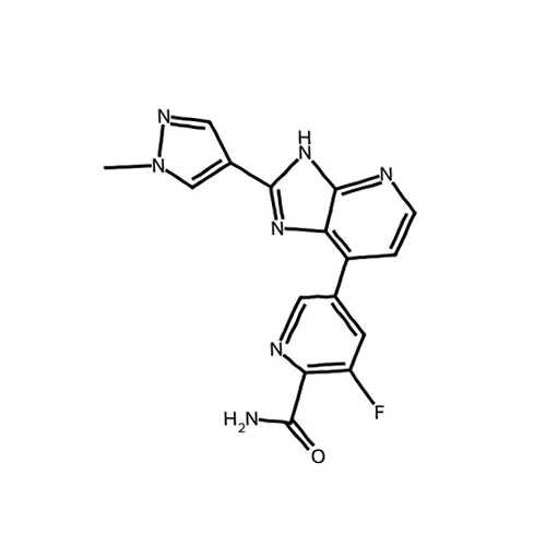 Cn1cc(-c2nc3c(-c4cnc(C(N)=O)c(F)c4)ccnc3[nH]2)cn1